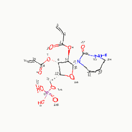 C=CC(=O)O[C@@H]1[C@@H](OC(=O)C=C)[C@@H](COP(=O)(O)O)O[C@H]1N1CCCNC1=O